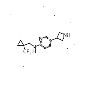 FC(F)(F)C1(CNc2ccc(C3CNC3)cn2)CC1